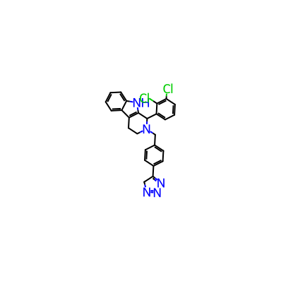 Clc1cccc(C2c3[nH]c4ccccc4c3CCN2Cc2ccc(C3=NN=NC3)cc2)c1Cl